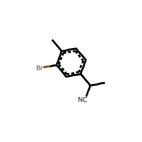 Cc1ccc(C(C)C#N)cc1Br